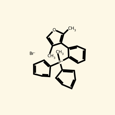 Cc1coc(C)c1-c1ccccc1[P+](C)(c1ccccc1)c1ccccc1.[Br-]